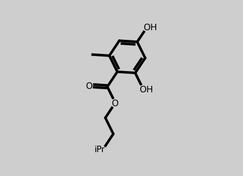 Cc1cc(O)cc(O)c1C(=O)OCCC(C)C